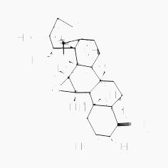 C=C1[C@@H](O)[C@H](O)C[C@]2(C)[C@H]3[C@@H]4O[C@@H]4[C@]45OC(=O)[C@@]6(CC[C@@H](C)[C@H](C)[C@H]64)CC[C@@]5(C)[C@]3(C)CC[C@@H]12